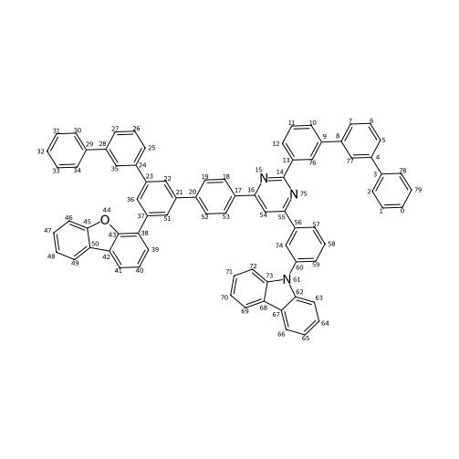 c1ccc(-c2cccc(-c3cccc(-c4nc(-c5ccc(-c6cc(-c7cccc(-c8ccccc8)c7)cc(-c7cccc8c7oc7ccccc78)c6)cc5)cc(-c5cccc(-n6c7ccccc7c7ccccc76)c5)n4)c3)c2)cc1